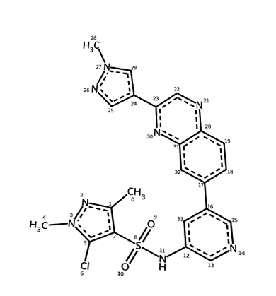 Cc1nn(C)c(Cl)c1S(=O)(=O)Nc1cncc(-c2ccc3ncc(-c4cnn(C)c4)nc3c2)c1